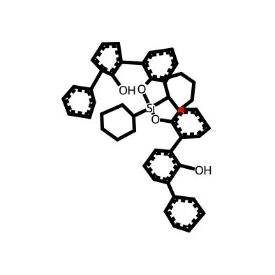 Oc1c(-c2ccccc2)cccc1-c1ccccc1O[Si](Oc1ccccc1-c1cccc(-c2ccccc2)c1O)(C1CCCCC1)C1CCCCC1